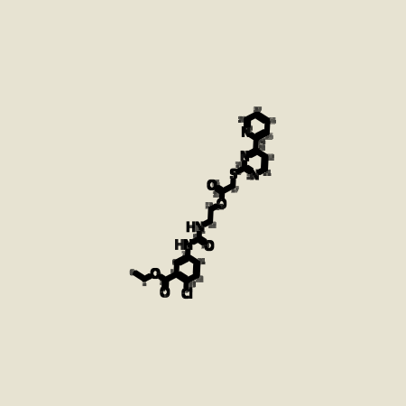 CCOC(=O)c1cc(NC(=O)NCCOC(=O)CSc2nccc(-c3ccccn3)n2)ccc1Cl